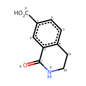 O=C(O)c1ccc2c(c1)C(=O)NCC2